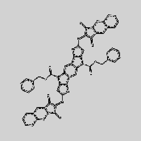 O=C(OCc1ccccc1)n1c2cc3c4sc(N=c5c(=O)c6cc7ccccc7cc6c5=O)cc4n(C(=O)OCc4ccccc4)c3cc2c2sc(N=c3c(=O)c4cc5ccccc5cc4c3=O)cc21